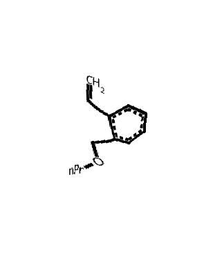 C=Cc1ccccc1COCCC